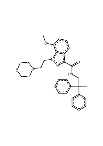 COc1cccc2c(C(=O)NCC(C)(c3ccccc3)c3ccccc3)nn(CCN3CCOCC3)c12